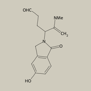 C=C(NC)C(CCC=O)N1Cc2cc(O)ccc2C1=O